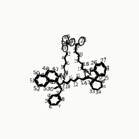 CC1(Cc2ccccc2)C(/C=C/C=C/C=C2\N(CCCCCC(=O)O)c3ccccc3C23CCCCC3)=[N+](CCCCCOC=O)c2ccc3ccccc3c21